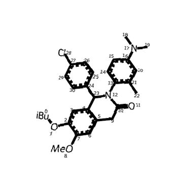 CCC(C)Oc1cc2c(cc1OC)CC(=O)N(c1ccc(N(C)C)cc1C)C2c1ccc(Cl)cc1